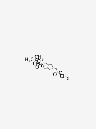 COC(=O)CC1CC2CN(C(=O)OC(C)(C)C)CC2C1